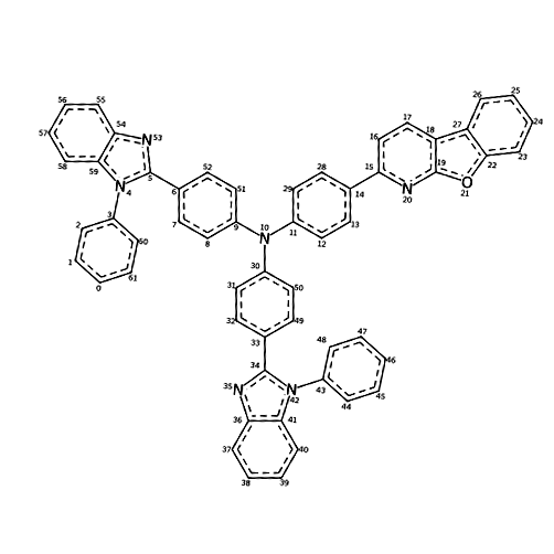 c1ccc(-n2c(-c3ccc(N(c4ccc(-c5ccc6c(n5)oc5ccccc56)cc4)c4ccc(-c5nc6ccccc6n5-c5ccccc5)cc4)cc3)nc3ccccc32)cc1